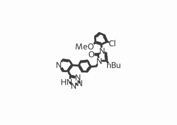 CCCCc1cn(-c2c(Cl)cccc2OC)c(=O)n1Cc1ccc(-c2ccncc2-c2nnn[nH]2)cc1